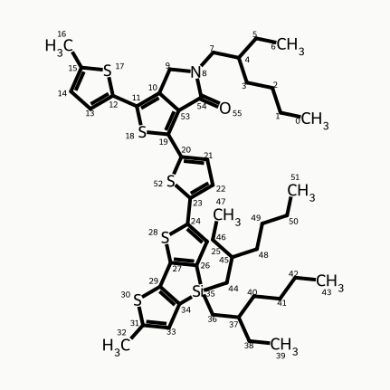 CCCCC(CC)CN1Cc2c(-c3ccc(C)s3)sc(-c3ccc(-c4cc5c(s4)-c4sc(C)cc4[Si]5(CC(CC)CCCC)CC(CC)CCCC)s3)c2C1=O